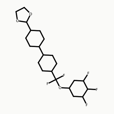 FC1CC(OC(F)(F)C2CCC(C3CCC(C4OCCO4)CC3)CC2)CC(F)C1F